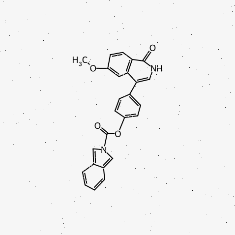 COc1ccc2c(=O)[nH]cc(-c3ccc(OC(=O)n4cc5ccccc5c4)cc3)c2c1